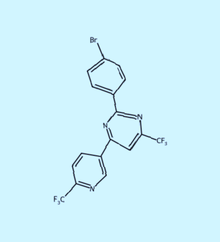 FC(F)(F)c1ccc(-c2cc(C(F)(F)F)nc(-c3ccc(Br)cc3)n2)cn1